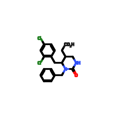 O=C(O)CC1CNC(=O)N(Cc2ccccc2)C1Cc1ccc(Cl)cc1Cl